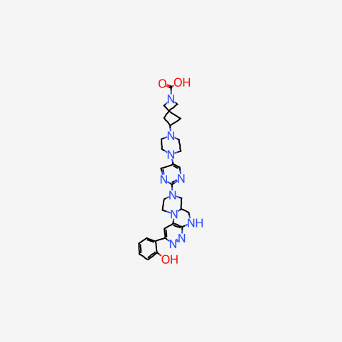 O=C(O)N1CC2(CC(N3CCN(c4cnc(N5CCN6c7cc(-c8ccccc8O)nnc7NCC6C5)nc4)CC3)C2)C1